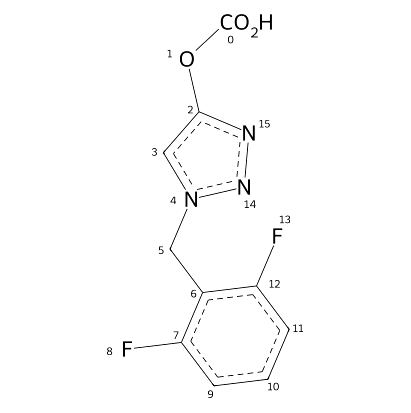 O=C(O)Oc1cn(Cc2c(F)cccc2F)nn1